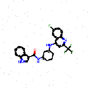 O=C(N[C@@H]1CCC[C@H](Nc2cc(C(F)(F)F)nc3ccc(F)cc23)C1)c1c[nH]c2ccccc12